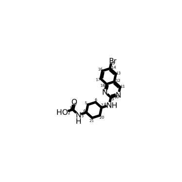 O=C(O)NC1CCC(Nc2ncc3cc(Br)ccc3n2)CC1